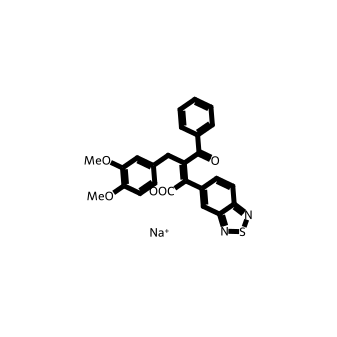 COc1ccc(C/C(C(=O)c2ccccc2)=C(\C(=O)[O-])c2ccc3nsnc3c2)cc1OC.[Na+]